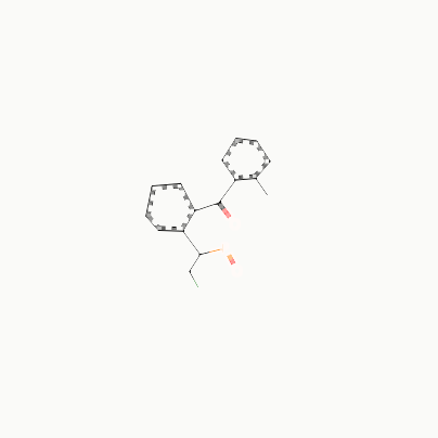 Cc1ccccc1C(=O)c1ccccc1C(CCl)P=O